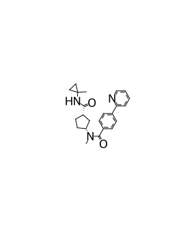 CN(C(=O)c1ccc(-c2ccccn2)cc1)[C@@H]1CC[C@H](C(=O)NC2(C)CC2)C1